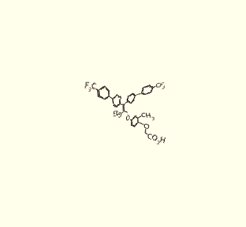 CCOC(COc1ccc(OCC(=O)O)c(C)c1)=C(c1ccc(-c2ccc(C(F)(F)F)cc2)cc1)c1ccc(-c2ccc(C(F)(F)F)cc2)cc1